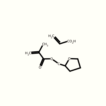 C=C(C)C(=O)OCC1CCCO1.C=CC(=O)O